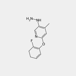 Cc1cc(OC2=C(F)CCC=C2)ncc1NN